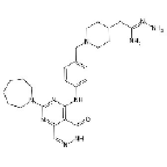 N/N=C(\N)CC1CCN(Cc2ccc(Nc3nc(N4CCCCCC4)nc4cn[nH]c(=O)c34)cc2)CC1